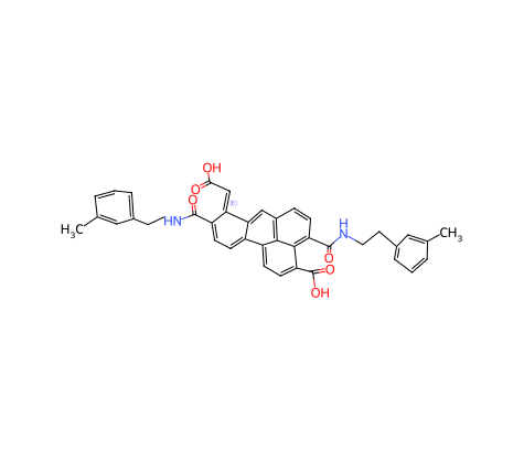 Cc1cccc(CCNC(=O)c2ccc3c(cc4ccc(C(=O)NCCc5cccc(C)c5)c5c(C(=O)O)ccc3c45)/c2=C/C(=O)O)c1